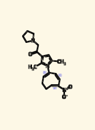 Cc1cc(C(=O)CN2CCCC2)c(C)n1C1=C/CC/C=C([N+](=O)[O-])/C=C\1